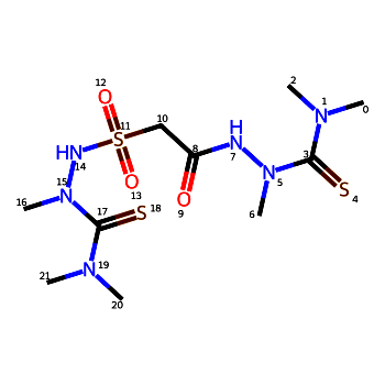 CN(C)C(=S)N(C)NC(=O)CS(=O)(=O)NN(C)C(=S)N(C)C